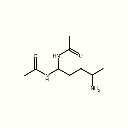 CC(=O)NC(CCC(C)N)NC(C)=O